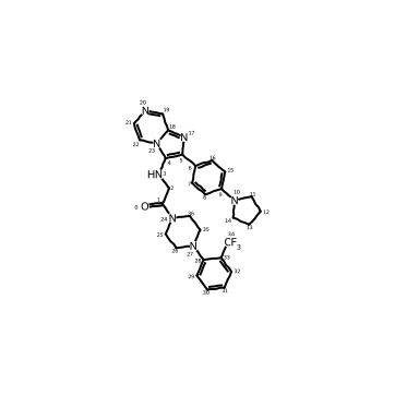 O=C(CNc1c(-c2ccc(N3CCCC3)cc2)nc2cnccn12)N1CCN(c2ccccc2C(F)(F)F)CC1